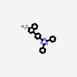 Cc1ccc(-c2ccc(-c3nc(-c4ccccc4)nc(-c4ccccc4)n3)cc2)c2ccccc12